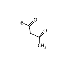 [B]C(=O)CC(C)=O